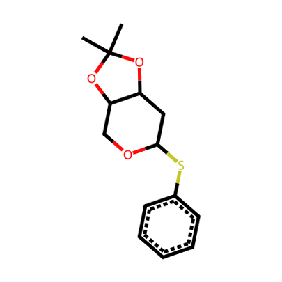 CC1(C)OC2COC(Sc3ccccc3)CC2O1